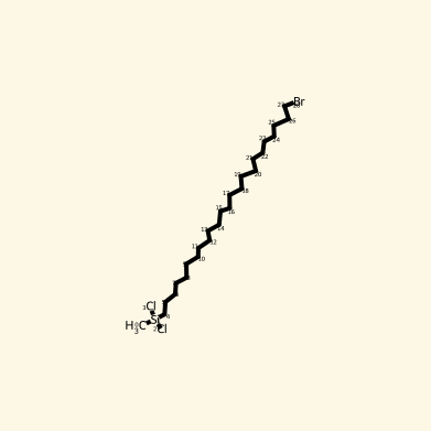 C[Si](Cl)(Cl)CCCCCCCCCCCCCCCCCCCCCCCCBr